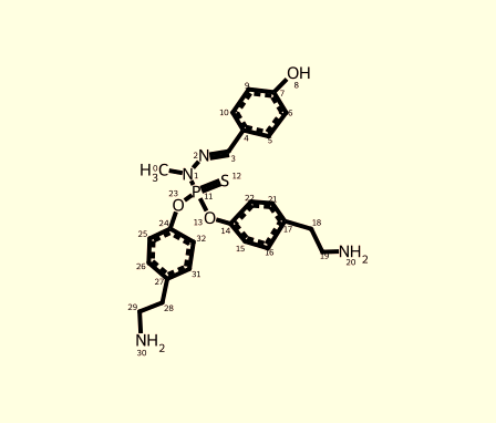 CN(/N=C/c1ccc(O)cc1)P(=S)(Oc1ccc(CCN)cc1)Oc1ccc(CCN)cc1